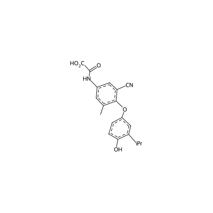 Cc1cc(NC(=O)C(=O)O)cc(C#N)c1Oc1ccc(O)c(C(C)C)c1